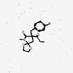 CCC(=O)C(Cc1ccc(Br)cc1)(CC1(C)OCCO1)C(=O)OC